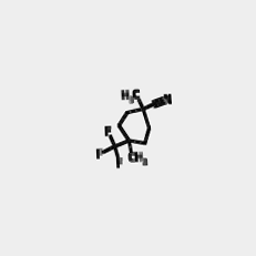 CC1(C#N)CCC(C)(C(F)(F)F)CC1